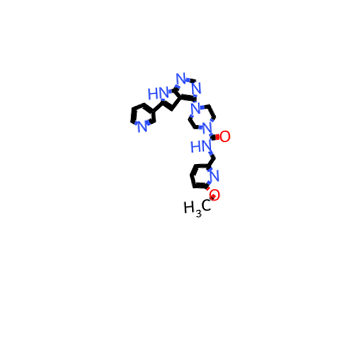 COc1cccc(CNC(=O)N2CCN(c3ncnc4[nH]c(-c5cccnc5)cc34)CC2)n1